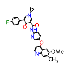 COc1cc2c(Oc3ccc(NC(=O)c4cn(C5CC5)cc(-c5ccc(F)cc5)c4=O)nc3)ccnc2cc1C